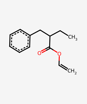 C=COC(=O)C(CC)Cc1ccccc1